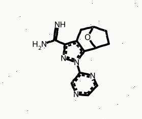 N=C(N)c1nn(-c2cnccn2)c2c1CC1CCC2O1